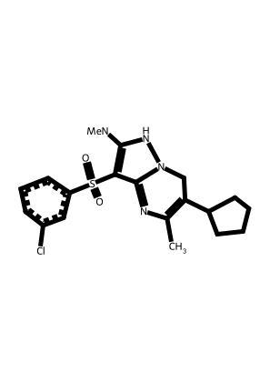 CNC1=C(S(=O)(=O)c2cccc(Cl)c2)C2=NC(C)=C(C3CCCC3)CN2N1